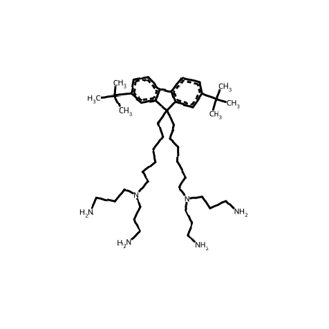 CC(C)(C)c1ccc2c(c1)C(CCCCCCN(CCCN)CCCN)(CCCCCCN(CCCN)CCCN)c1cc(C(C)(C)C)ccc1-2